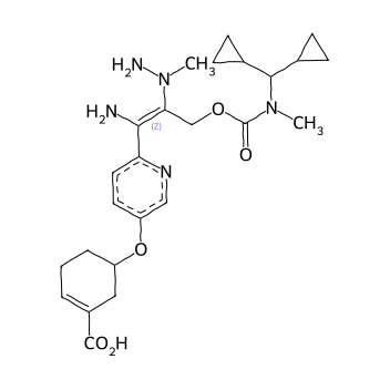 CN(N)/C(COC(=O)N(C)C(C1CC1)C1CC1)=C(\N)c1ccc(OC2CCC=C(C(=O)O)C2)cn1